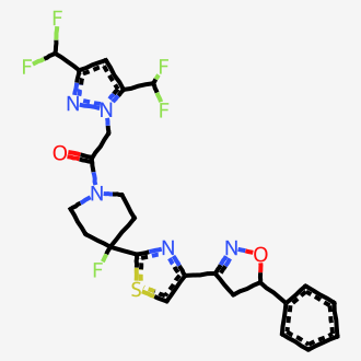 O=C(Cn1nc(C(F)F)cc1C(F)F)N1CCC(F)(c2nc(C3=NOC(c4ccccc4)C3)cs2)CC1